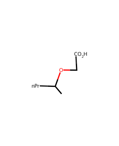 CCCC(C)OCC(=O)O